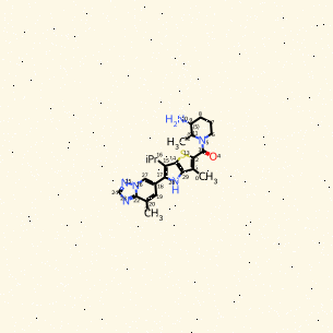 Cc1c(C(=O)N2CCC[C@H](N)[C@@H]2C)sc2c(C(C)C)c(-c3cc(C)c4ncnn4c3)[nH]c12